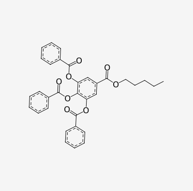 CCCCCOC(=O)c1cc(OC(=O)c2ccccc2)c(OC(=O)c2ccccc2)c(OC(=O)c2ccccc2)c1